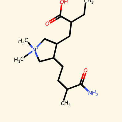 CCC(CC1C[N+](C)(C)CC1CCC(C)C(N)=O)C(=O)O